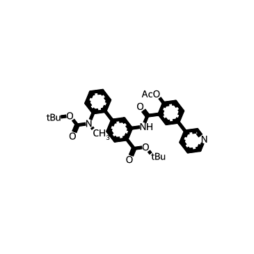 CC(=O)Oc1ccc(-c2cccnc2)cc1C(=O)Nc1cc(-c2ccccc2N(C)C(=O)OC(C)(C)C)ccc1C(=O)OC(C)(C)C